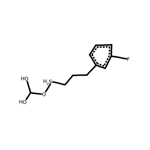 OC(O)O[SiH2]CCCc1cccc(F)c1